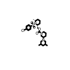 CC1CC(C)CN(C2CCCN(C(=O)OC[C@H]3CCC[C@@H](C)N3S(=O)(=O)c3ccc(Cl)cc3)C2)C1